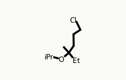 CCC(C)(CCCCl)OC(C)C